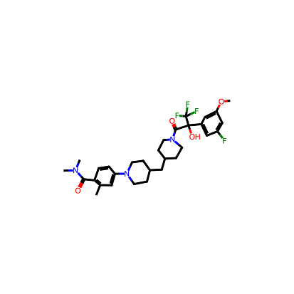 COc1cc(F)cc(C(O)(C(=O)N2CCC(CC3CCN(c4ccc(C(=O)N(C)C)c(C)c4)CC3)CC2)C(F)(F)F)c1